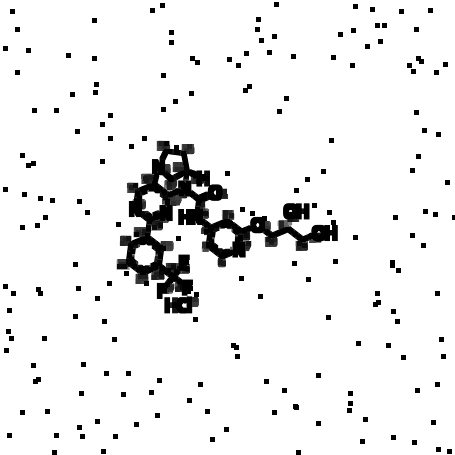 Cl.O=C(Nc1ccnc(OC[C@H](O)CO)c1)N1c2nc(-c3cccc(C(F)(F)F)c3)ncc2N2CC[C@H]1C2